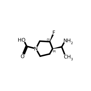 CC(N)[C@H]1CCN(C(=O)O)C[C@H]1F